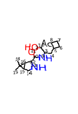 CC(=O)C(O)C(CC1CCC1)NC(=O)[C@H]1NCC2C1C2(C)C